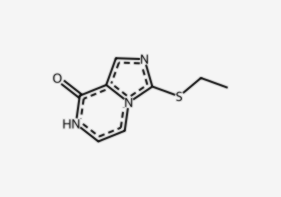 CCSc1ncc2c(=O)[nH]ccn12